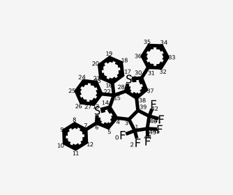 FC1(F)C2c3cc(-c4ccccc4)sc3C(c3ccccc3)(c3ccccc3)c3sc(-c4ccccc4)cc3C2C(F)(F)C1(F)F